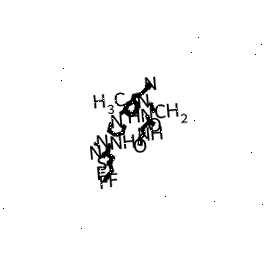 C=C(Cn1c(C#N)cc2c(C)c(CN3CCC(Nc4ncnc5sc(CC(F)(F)F)cc45)CC3)ccc21)NC(=O)CNC=O